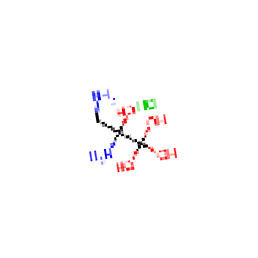 Cl.NCC(N)(O)C(O)(O)O